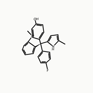 COc1ccccc1[C@](c1ccc(O)cc1)(c1ccc(F)cc1)c1ccc(C)[nH]1